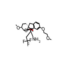 COCCOc1ccc2c(c1)C1(C=C(N)N(CC(F)(F)F)C1=O)[C@]1(CC[C@H](OC)CC1)C2